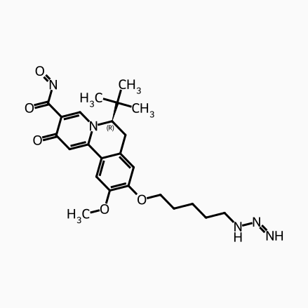 COc1cc2c(cc1OCCCCCNN=N)C[C@H](C(C)(C)C)n1cc(C(=O)N=O)c(=O)cc1-2